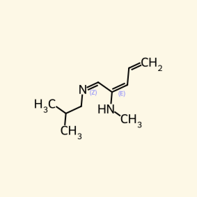 C=C/C=C(\C=N/CC(C)C)NC